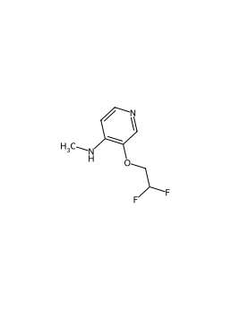 CNc1ccncc1OCC(F)F